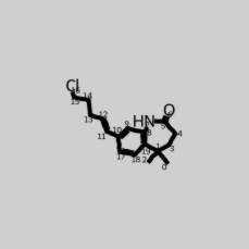 CC1(C)CCC(=O)Nc2cc(C=CCCCCl)ccc21